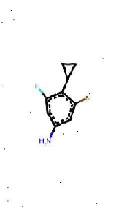 Nc1cc(F)c(C2CC2)c(Br)c1